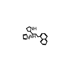 c1ccc2c(CCC(Nn3cccc3)C3CCCN3)cccc2c1